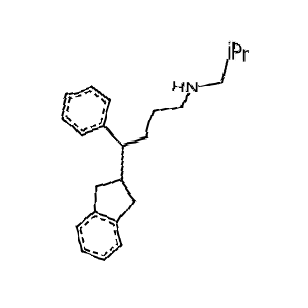 CC(C)CNCCCC(c1ccccc1)C1Cc2ccccc2C1